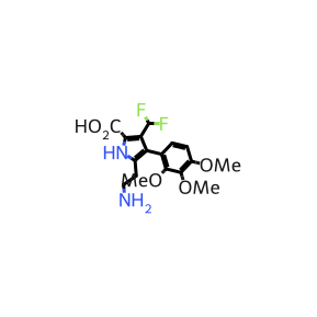 COc1ccc(-c2c(CCN)[nH]c(C(=O)O)c2C(F)F)c(OC)c1OC